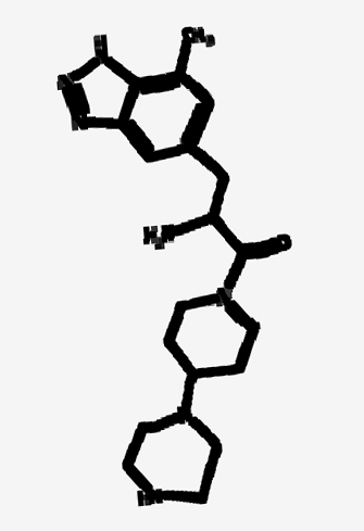 Cc1cc(CC(N)C(=O)N2CCC(N3CCNCC3)CC2)cc2nn[nH]c12